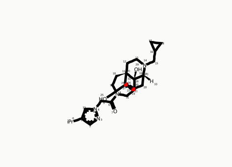 CC(C)c1cnn(CC(=O)N2CC[C@]34CCN(CC5CC5)[C@H](Cc5ccc(O)cc53)[C@]4(O)CC2)c1